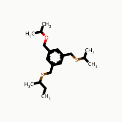 CCC(C)SCc1cc(COC(C)C)cc(CSC(C)C)c1